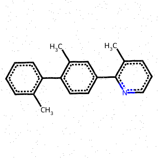 Cc1ccccc1-c1ccc(-c2ncccc2C)cc1C